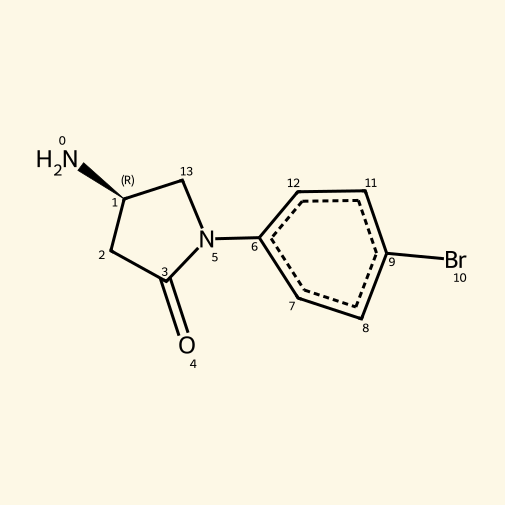 N[C@@H]1CC(=O)N(c2ccc(Br)cc2)C1